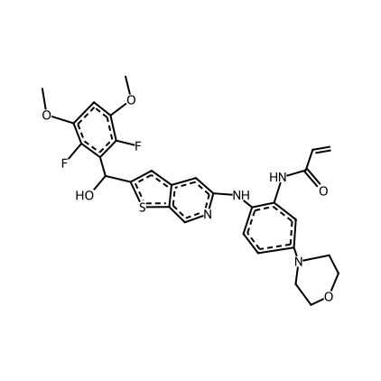 C=CC(=O)Nc1cc(N2CCOCC2)ccc1Nc1cc2cc(C(O)c3c(F)c(OC)cc(OC)c3F)sc2cn1